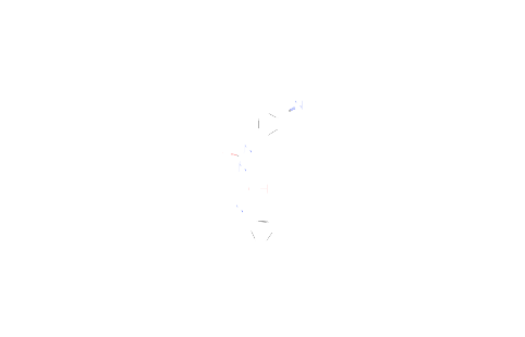 N#Cc1ccc(CN2CCN(CC(O)CN3CCc4ccccc4C3)C2=O)cc1F